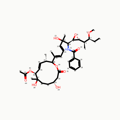 CC[C@H](OC)[C@@H](C)[C@H]1O[C@@H]1C(NC(=O)c1ccccc1)C(C)(O)/C=C/C=C(\C)C1OC(=O)C[C@H](O)CCC(C)(O)[C@@H](OC(C)=O)/C=C/[C@@H]1C